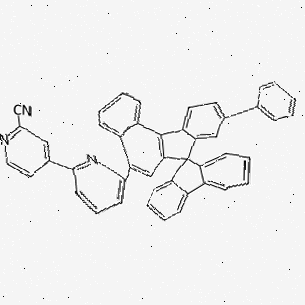 N#Cc1cc(-c2cccc(-c3cc4c(c5ccccc35)-c3ccc(-c5ccccc5)cc3C43c4ccccc4-c4ccccc43)n2)ccn1